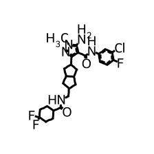 Cn1nc(C2CC3CC(CNC(=O)C4CCC(F)(F)CC4)CC3C2)c(C(=O)Nc2ccc(F)c(Cl)c2)c1N